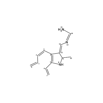 C=C/C=C\C1=C(C=C)NC(C)/C1=C\N=C/N